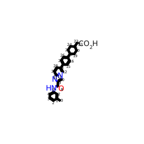 Cc1cccc(NC(=O)c2cn3cc(-c4ccc(C5CCC(CC(=O)O)CC5)cc4)ccc3n2)c1